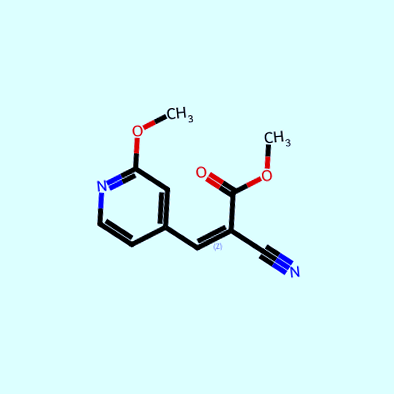 COC(=O)/C(C#N)=C\c1ccnc(OC)c1